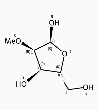 CO[C@@H]1[C@H](O)[C@@H](CO)O[C@@H]1O